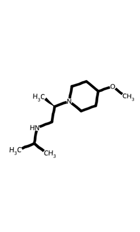 COC1CCN([C@H](C)CNC(C)C)CC1